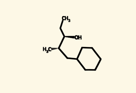 CC[C@@H](O)[C@@H](C)CC1CCCCC1